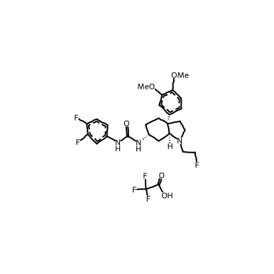 COc1ccc([C@@]23CC[C@@H](NC(=O)Nc4ccc(F)c(F)c4)C[C@@H]2N(CCF)CC3)cc1OC.O=C(O)C(F)(F)F